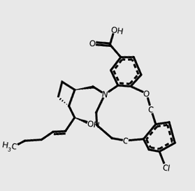 CCC/C=C/[C@H](O)[C@@H]1CC[C@H]1CN1CCCCc2cc(Cl)ccc2COc2ccc(C(=O)O)cc21